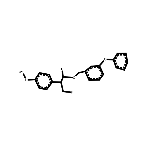 CC(C)Oc1ccc(C(CF)C(F)OCc2cccc(Oc3ccccc3)c2)cc1